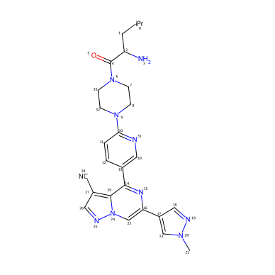 CC(C)CC(N)C(=O)N1CCN(c2ccc(-c3nc(-c4cnn(C)c4)cn4ncc(C#N)c34)cn2)CC1